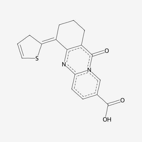 O=C(O)c1ccc2nc3c(c(=O)n2c1)CCC/C3=C1\CC=CS1